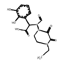 CCN1CCN(N(C=O)C(C(=O)O)c2cccc(O)c2O)C(=O)C1=O